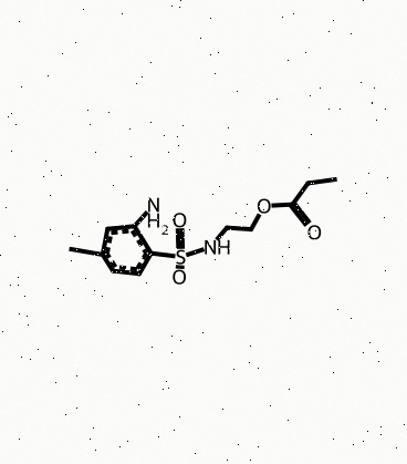 CCC(=O)OCCNS(=O)(=O)c1ccc(C)cc1N